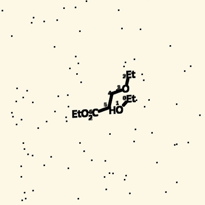 CCO.CCOCCC(=O)OCC